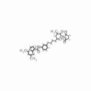 Cc1cc(C)n2ccc(C(=O)Nc3cccc(CCCCC(C)CC(C)C(=O)ON4C(=O)CCC4=O)c3)c2n1